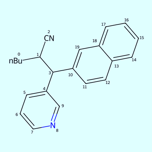 CCCCC(C#N)C(c1cccnc1)c1ccc2ccccc2c1